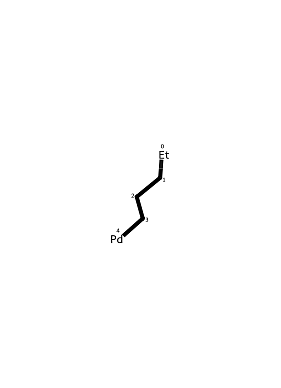 CCCC[CH2][Pd]